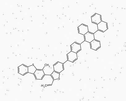 C=Cc1sc2cc(-c3ccc4cc(-c5c6ccccc6c(-c6cccc7ccccc67)c6ccccc56)ccc4c3)ccc2c1-c1ccc2c(sc3ccccc32)c1C